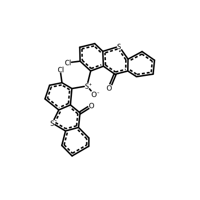 O=c1c2ccccc2sc2ccc(Cl)c([S+]([O-])c3c(Cl)ccc4sc5ccccc5c(=O)c34)c12